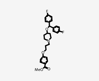 COC(=O)c1ccc(OCCCN2CCC(OC(c3ccc(F)cc3)c3ccc(F)cc3)CC2)cc1